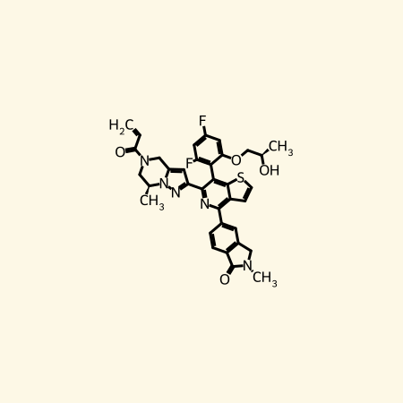 C=CC(=O)N1Cc2cc(-c3nc(-c4ccc5c(c4)CN(C)C5=O)c4ccsc4c3-c3c(F)cc(F)cc3OC[C@@H](C)O)nn2[C@@H](C)C1